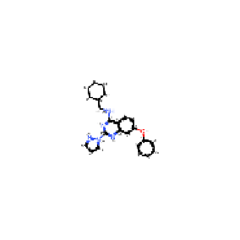 c1ccc(Oc2ccc3c(NCC4CCCCC4)nc(-n4cccn4)nc3c2)cc1